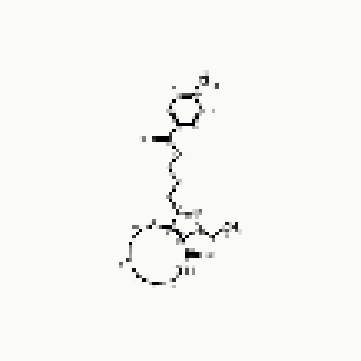 CCn1nc(CCCOC(=O)c2cnc(C)nc2)c2c1C(=O)NCCCOCCC2